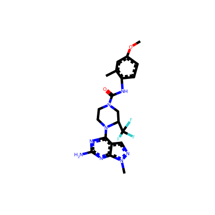 COc1ccc(NC(=O)N2CCN(c3nc(N)nc4c3cnn4C)C(C(F)(F)F)C2)c(C)c1